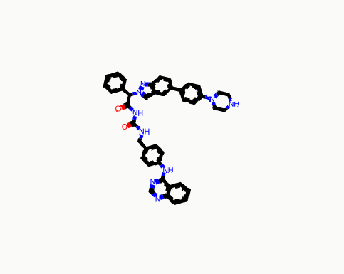 O=C(NCc1ccc(Nc2ncnc3ccccc23)cc1)NC(=O)C(c1ccccc1)n1cc2cc(-c3ccc(N4CCNCC4)cc3)ccc2n1